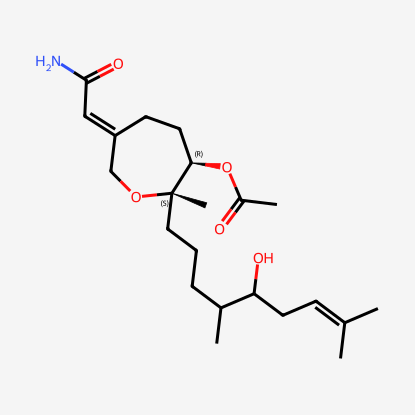 CC(=O)O[C@@H]1CCC(=CC(N)=O)CO[C@@]1(C)CCCC(C)C(O)CC=C(C)C